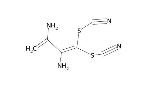 C=C(N)C(N)=C(SC#N)SC#N